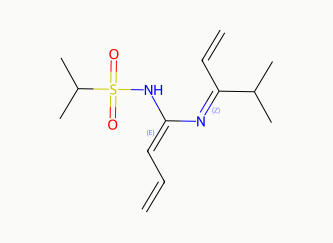 C=C/C=C(\N=C(/C=C)C(C)C)NS(=O)(=O)C(C)C